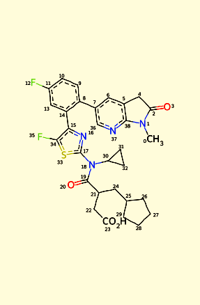 CN1C(=O)Cc2cc(-c3ccc(F)cc3-c3nc(N(C(=O)C(CC(=O)O)CC4CCCC4)C4CC4)sc3F)cnc21